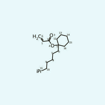 C=CC(=O)OC1(CCCCCC(C)C)CCCCC1